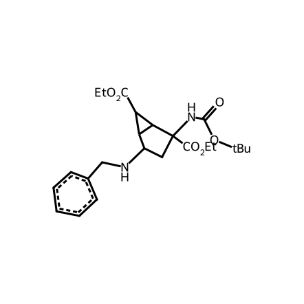 CCOC(=O)C1C2C(NCc3ccccc3)CC(NC(=O)OC(C)(C)C)(C(=O)OCC)C12